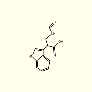 O=CNCC(C(=O)O)c1c[nH]c2ccccc12